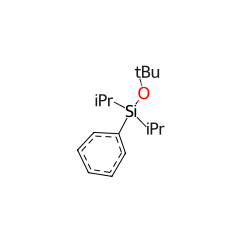 CC(C)[Si](OC(C)(C)C)(c1ccccc1)C(C)C